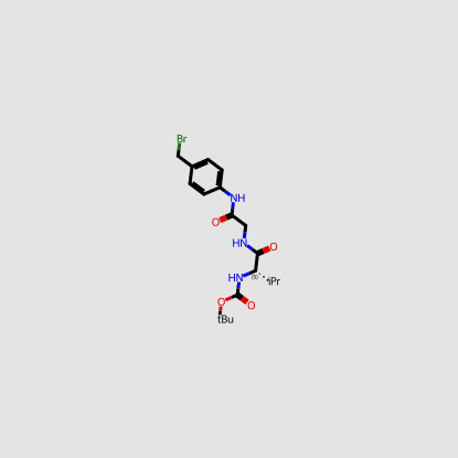 CC(C)[C@H](NC(=O)OC(C)(C)C)C(=O)NCC(=O)Nc1ccc(CBr)cc1